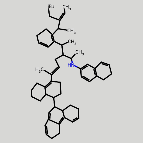 C/C=C(\CC(C)CC)C(C)C1=C(C(C)C(C/C=C(\C)C2=C3CCCCC3C(C3C=C4C=CCCC4=C4C=CCCC43)CC2)C(C)Nc2ccc3c(c2)C=CCC3)C=CCC1